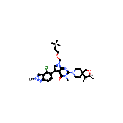 CCn1cc2c(Cl)c(-c3cn(COCC[Si](C)(C)C)c4nc(N5CCC6(CC5)CO[C@@H](C)[C@H]6C)n(C)c(=O)c34)ccc2n1